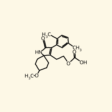 COC1CCC2(CC1)NC(=O)C(c1cc(C)ccc1C)=C2CCOC(=O)O